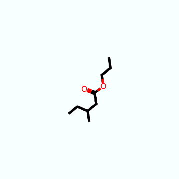 CCCOC(=O)CC(C)CC